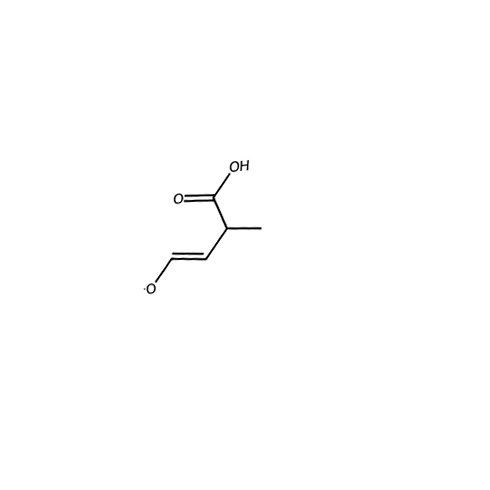 CC(/C=C/[O])C(=O)O